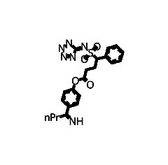 CCCC(=N)c1ccc(OC(=O)CCC(c2ccccc2)S(=O)(=O)N=C2N=NN=N2)cc1